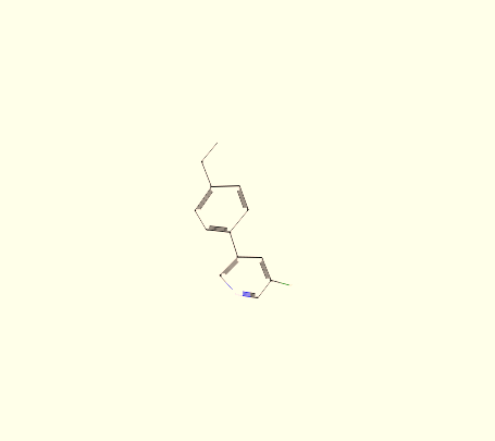 C[CH]c1ccc(-c2cncc(Cl)c2)cc1